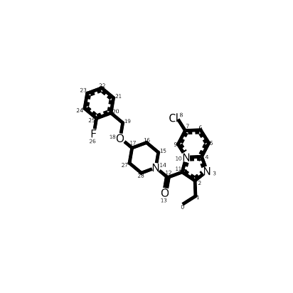 CCc1nc2ccc(Cl)cn2c1C(=O)N1CCC(OCc2ccccc2F)CC1